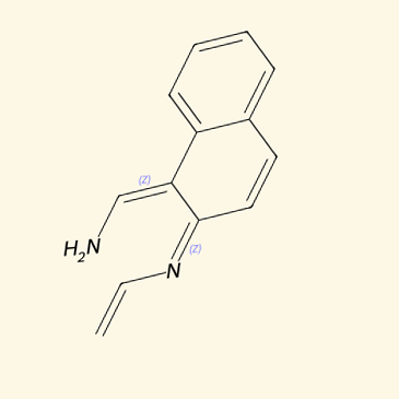 C=C/N=C1/C=Cc2ccccc2/C1=C/N